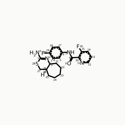 NC1=N[C@@]2(c3cc(NC(=O)c4ncccc4F)ccc3F)CCCCC[C@H]2CS1